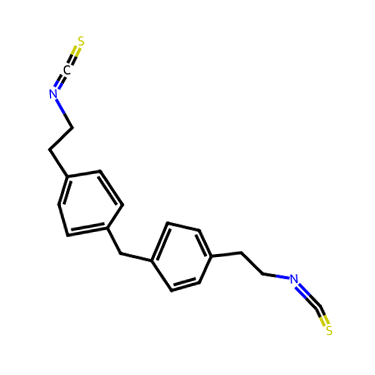 S=C=NCCc1ccc(Cc2ccc(CCN=C=S)cc2)cc1